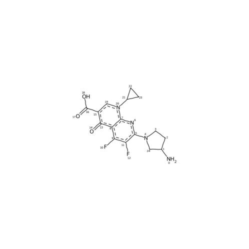 NC1CCN(c2nc3c(c(F)c2F)c(=O)c(C(=O)O)cn3C2CC2)C1